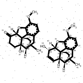 COc1ccc2c3c1O[C@H]1C(=O)CC[C@@]4(O)[C@@H](C2)N(C)CC[C@]314.COc1ccc2c3c1O[C@H]1[C@@H](O)C=C[C@H]4[C@@H](C2)N(C)CC[C@@]341